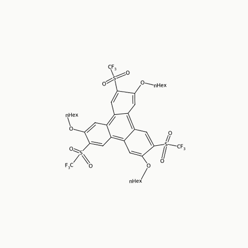 CCCCCCOc1cc2c(cc1S(=O)(=O)C(F)(F)F)c1cc(OCCCCCC)c(S(=O)(=O)C(F)(F)F)cc1c1cc(OCCCCCC)c(S(=O)(=O)C(F)(F)F)cc21